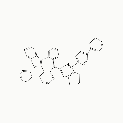 C1=Cc2nc(N3c4ccccc4-c4c(n(-c5ccccc5)c5ccccc45)-c4ccccc43)nc(-c3ccc(-c4ccccc4)cc3)c2CC1